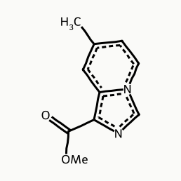 COC(=O)c1ncn2ccc(C)cc12